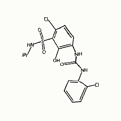 CC(C)NS(=O)(=O)c1c(Cl)ccc(NC(=O)Nc2ccccc2Cl)c1O